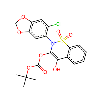 CC(C)(C)OC(=O)OC1=C(O)c2ccccc2S(=O)(=O)N1c1cc2c(cc1Cl)OCO2